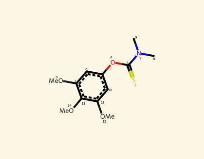 COc1cc(OC(=S)N(C)C)cc(OC)c1OC